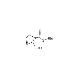 CC(C)(C)OC(=O)N1CC=CC1C=O